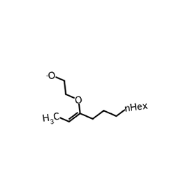 CC=C(CCCCCCCCC)OCC[O]